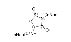 CCCCCCCCCN1C(=O)CC(NCCCCCCC)C1=O